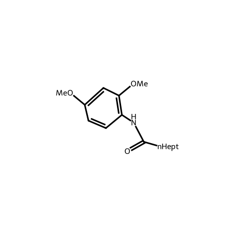 CCCCCCCC(=O)Nc1ccc(OC)cc1OC